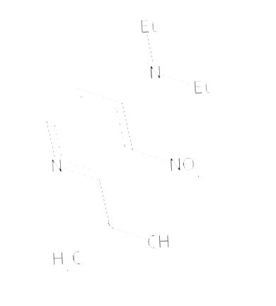 C=C(C)c1nccc(N(CC)CC)c1[N+](=O)[O-]